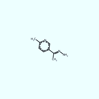 CC(=NN)c1ccc(C)nc1